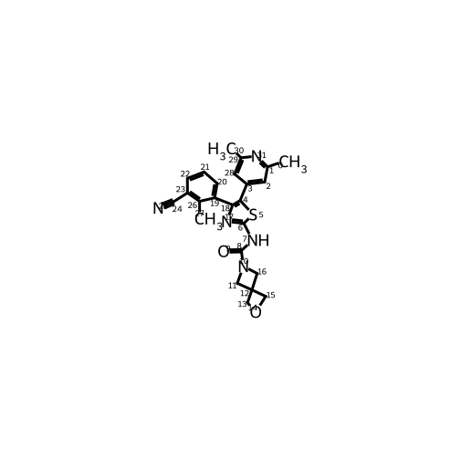 Cc1cc(-c2sc(NC(=O)N3CC4(COC4)C3)nc2-c2cccc(C#N)c2C)cc(C)n1